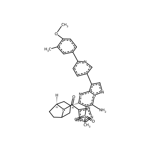 COc1ccc(-c2ccc(-c3cnn4c(N)c(S(C)(=O)=O)c([C@@H]5CC6CC[C@@H](C5)N6C(=O)c5nnc[nH]5)nc34)cn2)cc1C